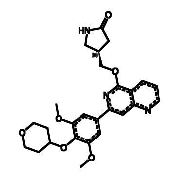 COc1cc(-c2cc3ncccc3c(OC[C@H]3CNC(=O)C3)n2)cc(OC)c1OC1CCOCC1